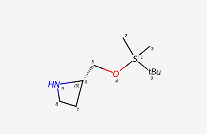 CC(C)(C)[Si](C)(C)OC[C@@H]1CCN1